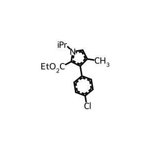 CCOC(=O)c1c(-c2ccc(Cl)cc2)c(C)cn1C(C)C